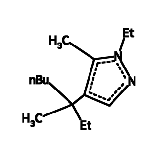 CCCCC(C)(CC)c1cnn(CC)c1C